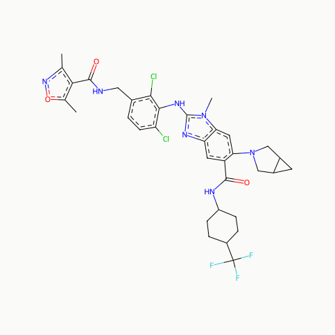 Cc1noc(C)c1C(=O)NCc1ccc(Cl)c(Nc2nc3cc(C(=O)NC4CCC(C(F)(F)F)CC4)c(N4CC5CC5C4)cc3n2C)c1Cl